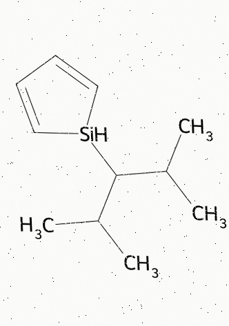 CC(C)C(C(C)C)[SiH]1C=CC=C1